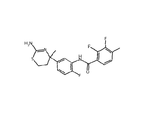 Cc1ccc(C(=O)Nc2cc(C3(C)CCSC(N)=N3)ccc2F)c(F)c1F